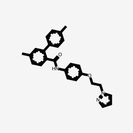 Cc1ccc(-c2cc(C)ccc2C(=O)Nc2ccc(OCCn3cccn3)cc2)cc1